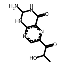 CC(O)C(=O)c1cnc2c(n1)C(=O)NC(N)N2